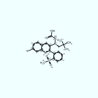 CC(C)(C)C[C@H](NC(=O)O)c1cc2ccc(F)cc2nc1-c1ccccc1S(C)(=O)=O